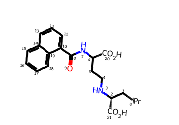 CC(C)C[C@H](NCCC(NC(=O)c1cccc2ccccc12)C(=O)O)C(=O)O